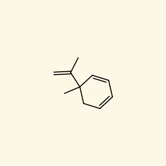 C=C(C)C1(C)C=CC=CC1